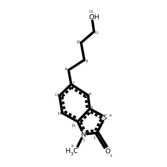 Cn1c(=O)sc2cc(CCCCO)ccc21